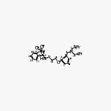 CC(C)CN(Cc1cccc(OCCCNC2=NS(=O)(=O)c3ccccc32)c1)CC(C)C